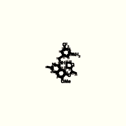 COc1cc2nc(C)nc(NCc3cc(N)nc(C(F)(F)F)c3)c2cc1OC(C)[C@H]1CCCO1